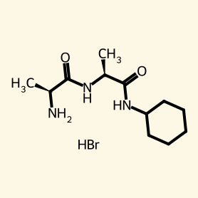 Br.C[C@H](N)C(=O)N[C@@H](C)C(=O)NC1CCCCC1